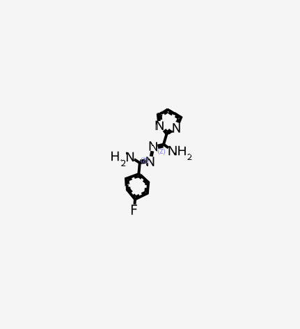 N/C(=N\N=C(/N)c1ncccn1)c1ccc(F)cc1